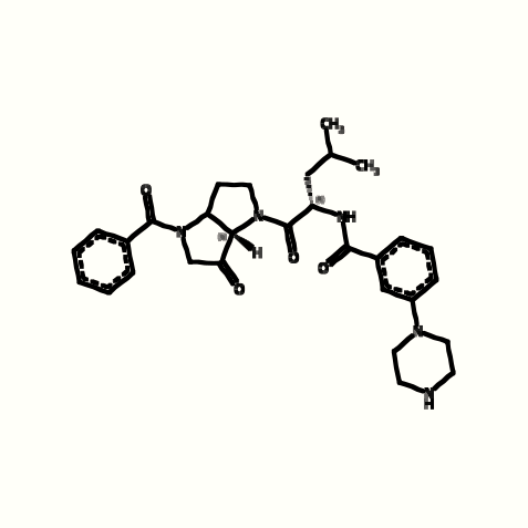 CC(C)C[C@H](NC(=O)c1cccc(N2CCNCC2)c1)C(=O)N1CCC2[C@H]1C(=O)CN2C(=O)c1ccccc1